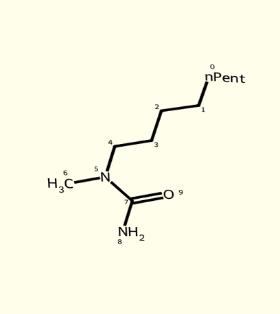 CCCCCCCCCN(C)C(N)=O